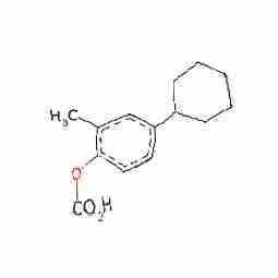 Cc1cc(C2CCCCC2)ccc1OC(=O)O